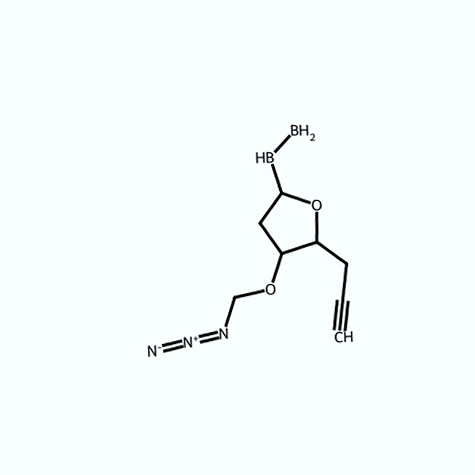 BBC1CC(OCN=[N+]=[N-])C(CC#C)O1